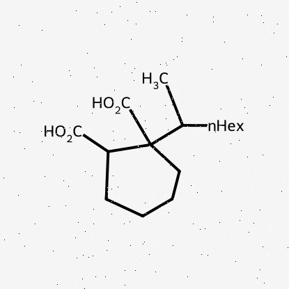 CCCCCCC(C)C1(C(=O)O)CCCCC1C(=O)O